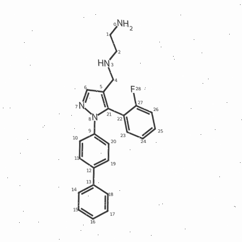 NCCNCc1cnn(-c2ccc(-c3ccccc3)cc2)c1-c1ccccc1F